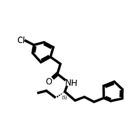 CCC[C@@H](CCCc1ccccc1)NC(=O)Cc1ccc(Cl)cc1